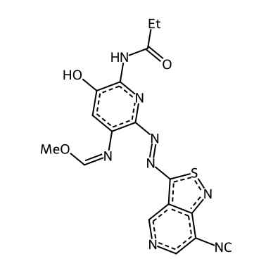 [C-]#[N+]c1cncc2c(/N=N/c3nc(NC(=O)CC)c(O)cc3/N=C\OC)snc12